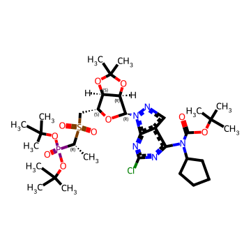 C[C@H](P(=O)(OC(C)(C)C)OC(C)(C)C)S(=O)(=O)C[C@H]1O[C@@H](n2ncc3c(N(C(=O)OC(C)(C)C)C4CCCC4)nc(Cl)nc32)[C@@H]2OC(C)(C)O[C@@H]21